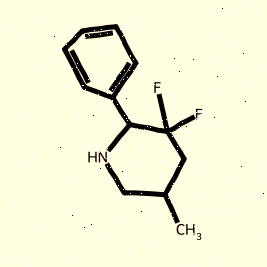 CC1CNC(c2ccccc2)C(F)(F)C1